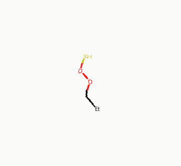 CCCOOS